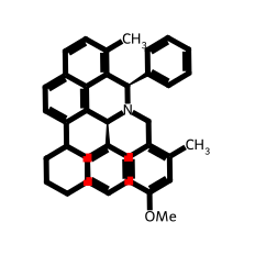 COc1ccc(CN2[C@H](c3ccccc3)c3c(C)ccc4ccc(C5CCCCC5)c(c34)[C@@H]2c2ccccc2)c(C)c1